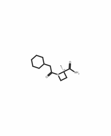 C[C@]1(C(N)=O)CCN1C(=O)CC1CCCCC1